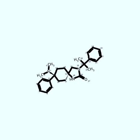 CN(C)[C@]1(c2ccccc2)CC[C@]2(CC1)CN(C(C)(C)c1ccccc1)C(=O)N2